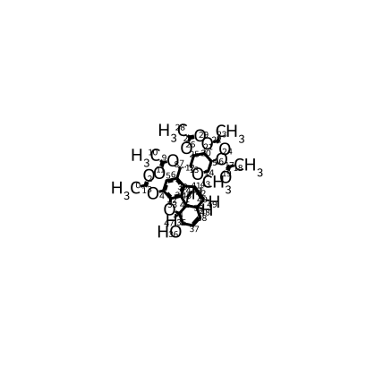 CC(=O)Oc1cc(C(OC(C)=O)[C@H]2O[CH][C@H](OC(C)=O)[C@@H](OC(C)=O)[C@@H]2OC(C)=O)c2c3c1O[C@H]1[C@@H](O)C=C[C@H]4[C@@H](C2)N(C)CC[C@@]341